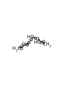 C=CC(=O)OCC(O)CCOc1ccc(-c2ccc(C(O)c3ccc(OCCC(O)COC(=O)C=C)cc3)cc2)cc1